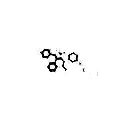 Cc1ccc(-c2nn(C[C@H]3CC[C@@H](COCC(=O)O)CC3)c(CCCO)c2-c2ccccc2)cc1